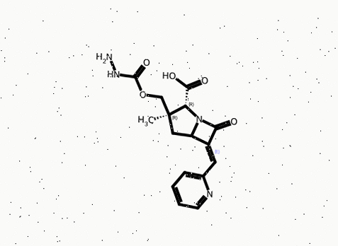 C[C@@]1(COC(=O)NN)CC2/C(=C\c3ccccn3)C(=O)N2[C@H]1C(=O)O